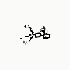 CCC[CH2][Sn]([CH2]CCC)([CH2]CCC)[c]1ccc(C2=C(C(=O)OC)[C@@H]3CCC(C2)O3)cc1